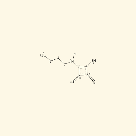 CN(CCCC(C)(C)C)c1c(S)c(=O)c1=S